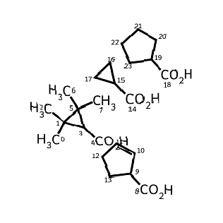 CC1(C)C(C(=O)O)C1(C)C.O=C(O)C1C=CCC1.O=C(O)C1CC1.O=C(O)C1CCCC1